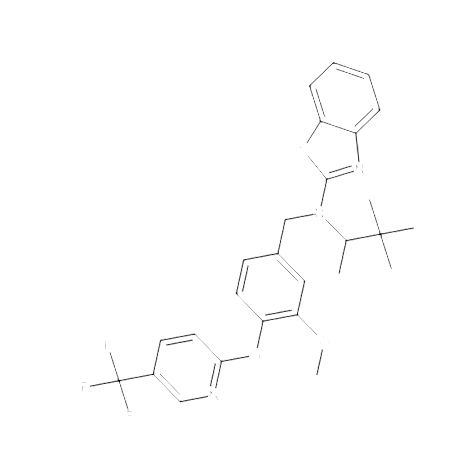 [CH2]C(N(Cc1ccc(Oc2ccc(C(F)(F)F)cn2)c(OC)c1)c1nc2ccccc2s1)C(C)(C)C